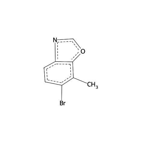 Cc1c(Br)ccc2ncoc12